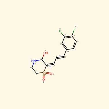 O=S1(=O)CCNC(O)/C1=C\C=C\c1ccc(F)c(F)c1